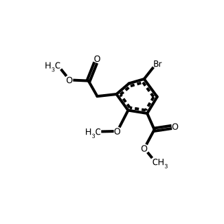 COC(=O)Cc1cc(Br)cc(C(=O)OC)c1OC